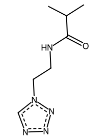 CC(C)C(=O)NCCn1cnnn1